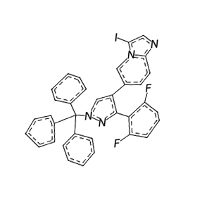 Fc1cccc(F)c1-c1nn(C(c2ccccc2)(c2ccccc2)c2ccccc2)cc1-c1ccc2ncc(I)n2c1